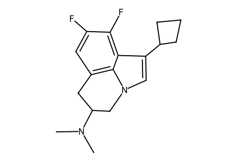 CN(C)C1Cc2cc(F)c(F)c3c(C4CCC4)cn(c23)C1